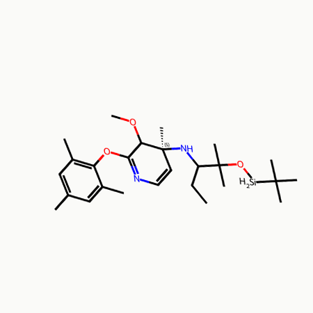 CCC(N[C@@]1(C)C=CN=C(Oc2c(C)cc(C)cc2C)C1OC)C(C)(C)O[SiH2]C(C)(C)C